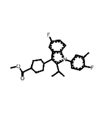 COC(=O)C1CCC(c2c(C(C)C)n(-c3ccc(F)c(C)c3)c3ccc(F)cc23)CC1